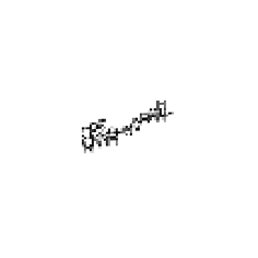 CCCNCC(O)COc1ccc(OCCCOCC2=C(C(=O)OC)C(c3ccccc3Cl)C(C#N)=C(C)N2)cc1